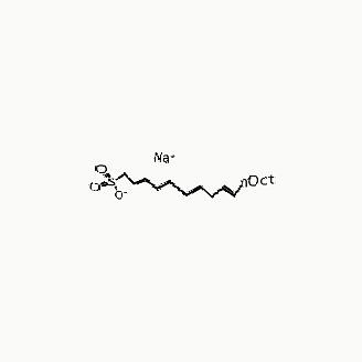 CCCCCCCCC=CCCCCCCCCS(=O)(=O)[O-].[Na+]